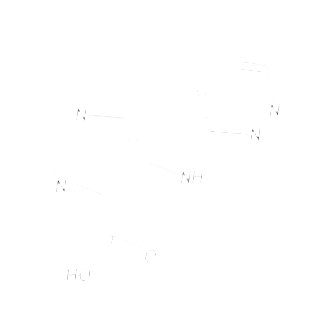 O=C(O)c1ncncc1Nc1cccnn1